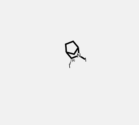 I[C@@H]1C2CCC(C2)N1I